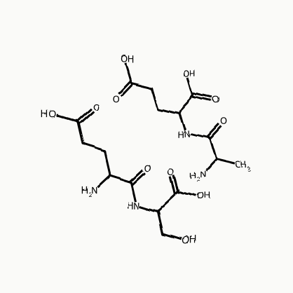 CC(N)C(=O)NC(CCC(=O)O)C(=O)O.NC(CCC(=O)O)C(=O)NC(CO)C(=O)O